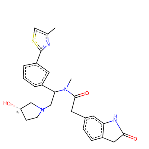 Cc1csc(-c2cccc(C(CN3CC[C@H](O)C3)N(C)C(=O)Cc3ccc4c(c3)NC(=O)C4)c2)n1